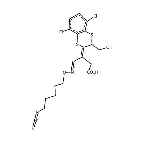 [N-]=[N+]=NCCCCCO/N=C/C(CC(=O)O)=C1\Sc2c(Cl)ccc(Cl)c2SC1CO